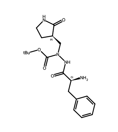 CC(C)(C)OC(=O)N(C[C@H]1CCNC1=O)NC(=O)[C@@H](N)Cc1ccccc1